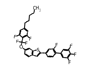 CCCCCc1cc(F)c(C(F)(F)Oc2ccc3cc(-c4ccc(-c5cc(F)c(F)c(F)c5)c(F)c4)sc3c2)c(F)c1